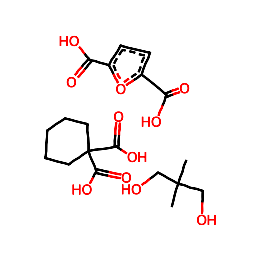 CC(C)(CO)CO.O=C(O)C1(C(=O)O)CCCCC1.O=C(O)c1ccc(C(=O)O)o1